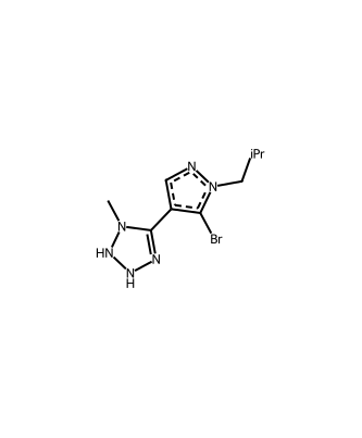 CC(C)Cn1ncc(C2=NNNN2C)c1Br